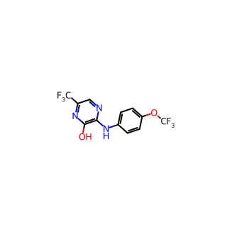 Oc1nc(C(F)(F)F)cnc1Nc1ccc(OC(F)(F)F)cc1